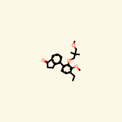 CCc1ccc(-c2cccc3c2CCC3=O)c(OCC(C)(C)COC)c1OC